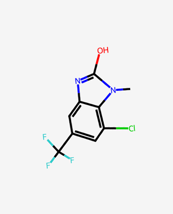 Cn1c(O)nc2cc(C(F)(F)F)cc(Cl)c21